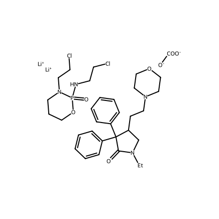 CCN1CC(CCN2CCOCC2)C(c2ccccc2)(c2ccccc2)C1=O.O=C([O-])[O-].O=P1(NCCCl)OCCCN1CCCl.[Li+].[Li+]